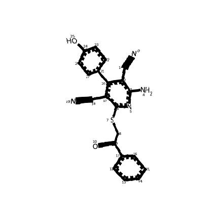 N#Cc1c(N)nc(SCC(=O)c2ccccc2)c(C#N)c1-c1ccc(O)cc1